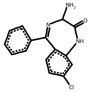 NC1N=C(c2ccccc2)c2ccc(Cl)cc2NC1=O